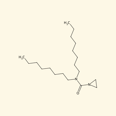 CCCCCCCCN(CCCCCCCC)C(=O)N1CC1